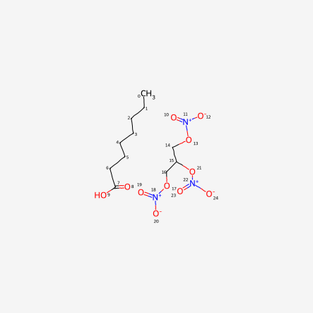 CCCCCCCC(=O)O.O=[N+]([O-])OCC(CO[N+](=O)[O-])O[N+](=O)[O-]